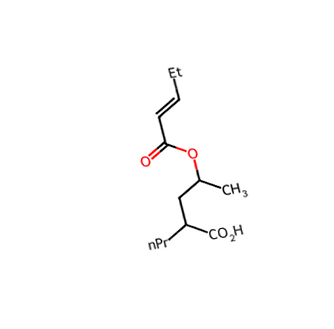 CCC=CC(=O)OC(C)CC(CCC)C(=O)O